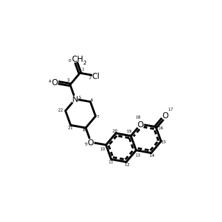 C=C(Cl)C(=O)N1CCC(Oc2ccc3ccc(=O)oc3c2)CC1